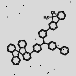 CC1(C)c2ccccc2-c2ccc(-c3cccc(N(c4ccc(-c5ccccc5)cc4)c4ccc(-c5cccc6c5-c5ccccc5C65c6ccccc6-c6ccccc65)cc4)c3)cc21